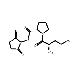 CC(=O)SC[C@@H](C)C(=O)N1CCC[C@H]1C(=O)ON1C(=O)CCC1=O